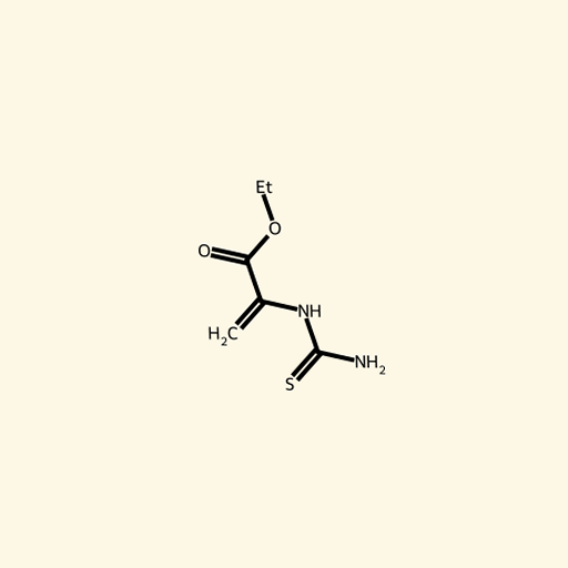 C=C(NC(N)=S)C(=O)OCC